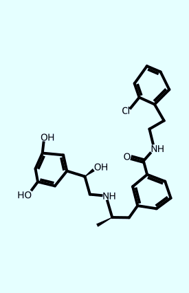 C[C@H](Cc1cccc(C(=O)NCCc2ccccc2Cl)c1)NC[C@H](O)c1cc(O)cc(O)c1